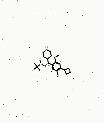 COc1cc(C2CCC2)c(Cl)cc1[C@H]([N-][S+]([O-])C(C)(C)C)C1CCNCC1